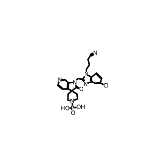 N#CCCCn1c(CN2C(=O)C3(CCN(P(=O)(O)O)CC3)c3ccncc32)nc2cc(Cl)ccc21